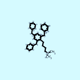 CN(C)CCCCc1c(Cc2ccccc2)cc(Cc2ccccc2)cc1Cc1ccccc1